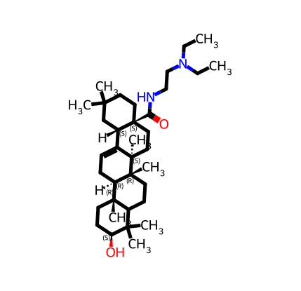 CCN(CC)CCNC(=O)[C@]12CCC(C)(C)C[C@H]1C1=CC[C@@H]3[C@@]4(C)CC[C@H](O)C(C)(C)C4CC[C@@]3(C)[C@]1(C)CC2